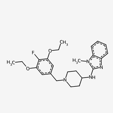 CCOc1cc(CN2CCC(Nc3nc4ccccc4n3C)CC2)cc(OCC)c1F